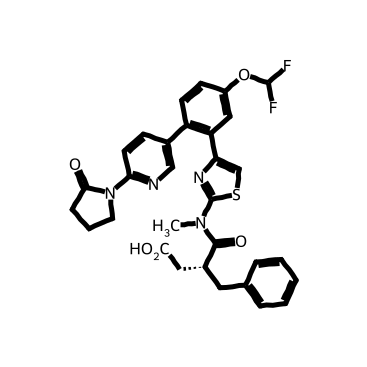 CN(C(=O)[C@@H](CC(=O)O)Cc1ccccc1)c1nc(-c2cc(OC(F)F)ccc2-c2ccc(N3CCCC3=O)nc2)cs1